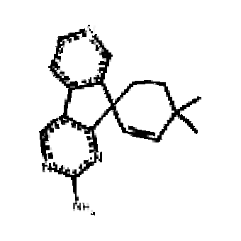 CC1(C)C=CC2(CC1)c1cnccc1-c1cnc(N)nc12